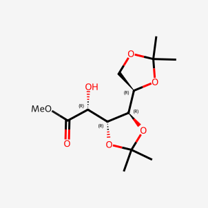 COC(=O)[C@H](O)[C@H]1OC(C)(C)O[C@@H]1[C@H]1COC(C)(C)O1